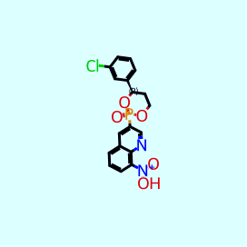 O=[N+](O)c1cccc2cc(P3(=O)OCC[C@H](c4cccc(Cl)c4)O3)cnc12